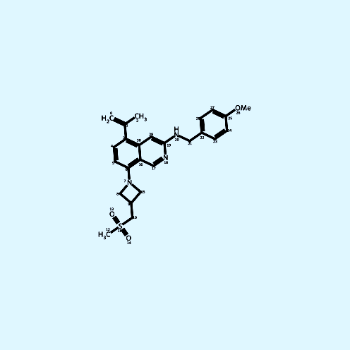 C=C(C)c1ccc(N2CC(CS(C)(=O)=O)C2)c2cnc(NCc3ccc(OC)cc3)cc12